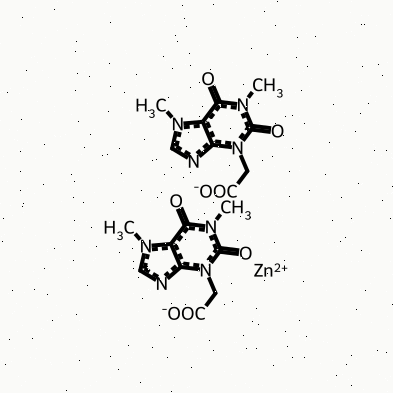 Cn1c(=O)c2c(ncn2C)n(CC(=O)[O-])c1=O.Cn1c(=O)c2c(ncn2C)n(CC(=O)[O-])c1=O.[Zn+2]